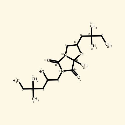 CCC(C)(C)CC(O)CN1C(=O)N2CC(CC(C)(C)CC)OC2(C)C1=O